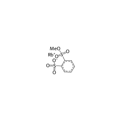 COS(=O)(=O)c1ccccc1S(=O)(=O)[O-].[Rb+]